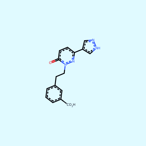 O=C(O)c1cccc(CCn2nc(-c3cn[nH]c3)ccc2=O)c1